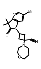 CC1(C)C(=O)N(C2CC(C#N)(N3CCCOCC3)C2)c2cc(Br)cnc21